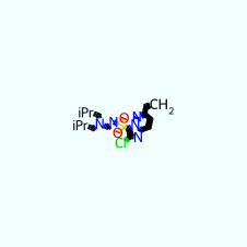 C=Cc1ccc2nc(Cl)c(S(=O)(=O)N=CN(CC(C)C)CC(C)C)n2n1